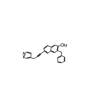 Oc1cc2ccc(C#CCc3ccncc3)cc2cc1Cc1ccccc1